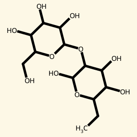 CCC1OC(O)C(OC2OC(CO)C(O)C(O)C2O)C(O)C1O